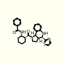 O=C(N[C@@H]1CCCC[C@@H]1C(=O)N1CC[C@@H]2[C@H](c3nccs3)Nc3ccccc3[C@@H]21)c1ccccc1